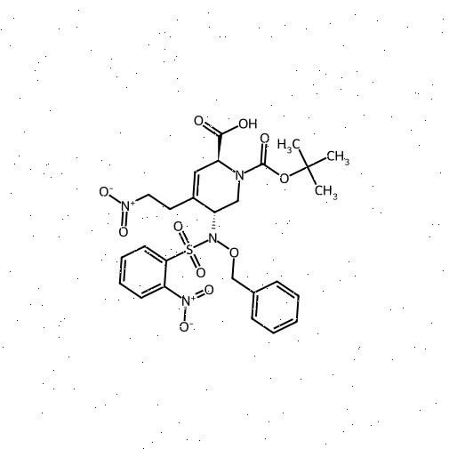 CC(C)(C)OC(=O)N1C[C@H](N(OCc2ccccc2)S(=O)(=O)c2ccccc2[N+](=O)[O-])C(CC[N+](=O)[O-])=C[C@H]1C(=O)O